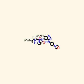 CN[C@@H](C)CN[C@H](C(=O)N1CCC[C@H]1C(=O)Nc1cc2c(Nc3ccc(N4CCOCC4)cc3)ncnc2cc1OC)C(C)(C)C